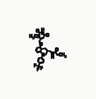 C=CC(=O)NCC1Cc2c(OCc3cc(=O)[nH]c(=O)n3C)cccc2N(c2ccc(C(F)(F)F)cc2)C1